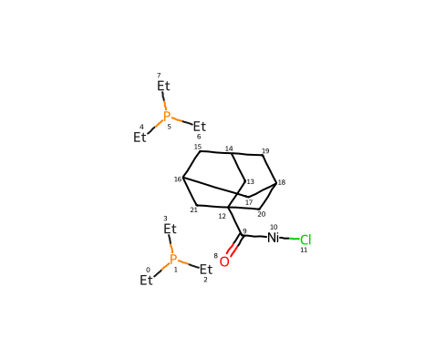 CCP(CC)CC.CCP(CC)CC.O=[C]([Ni][Cl])C12CC3CC(CC(C3)C1)C2